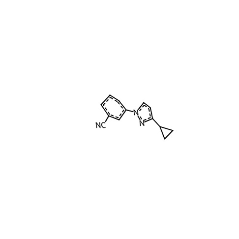 N#Cc1cccc(-n2ccc(C3CC3)n2)c1